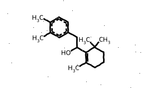 CC1=C(C(O)Cc2ccc(C)c(C)c2)C(C)(C)CCC1